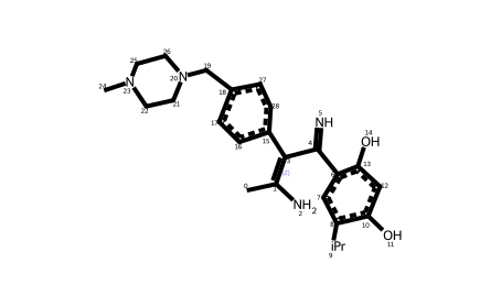 C/C(N)=C(/C(=N)c1cc(C(C)C)c(O)cc1O)c1ccc(CN2CCN(C)CC2)cc1